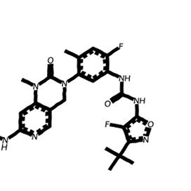 CNc1cc2c(cn1)CN(c1cc(NC(=O)Nc3onc(C(C)(C)C)c3F)c(F)cc1C)C(=O)N2C